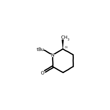 C[C@H]1CCCC(=O)N1C(C)(C)C